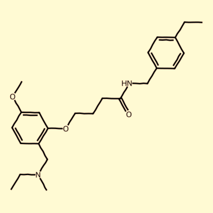 CCc1ccc(CNC(=O)CCCOc2cc(OC)ccc2CN(C)CC)cc1